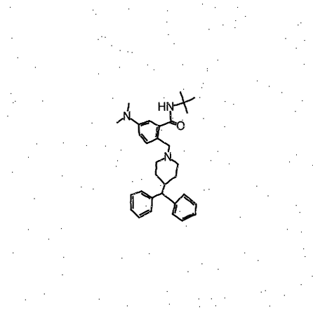 CN(C)c1ccc(CN2CCC(C(c3ccccc3)c3ccccc3)CC2)c(C(=O)NC(C)(C)C)c1